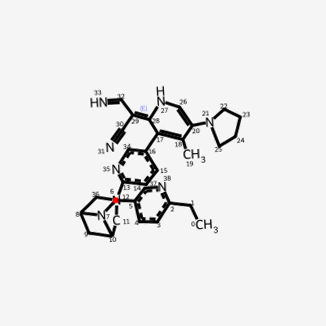 CCc1ccc(CN2C3CC2CN(c2ccc(C4=C(C)C(N5CCCC5)=CN/C4=C(/C#N)C=N)cn2)C3)cn1